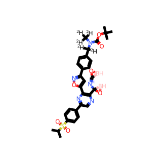 [2H]C([2H])([2H])N(C(=O)OC(C)(C)C)C([2H])([2H])c1ccc(-c2cc(-c3nc(-c4ccc(S(=O)(=O)C(C)C)cc4)cnc3C3(/N=C4\BO4)BO3)on2)cc1